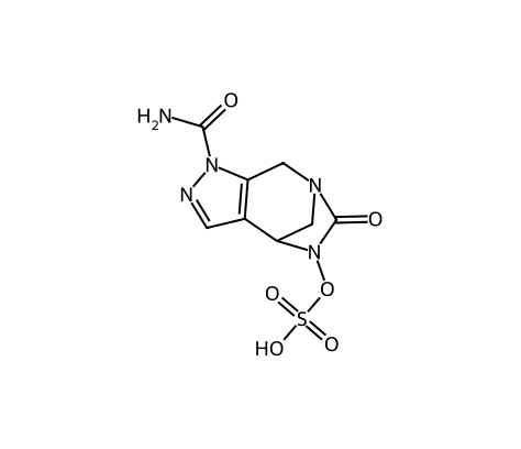 NC(=O)n1ncc2c1CN1CC2N(OS(=O)(=O)O)C1=O